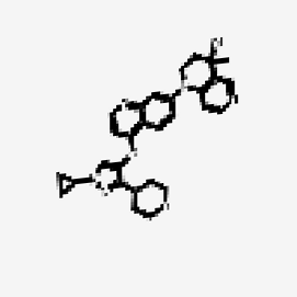 CC1(O)CCN(c2ccc3c(Oc4cn(C5CC5)nc4C4CCOCC4)ccnc3c2)c2ccncc21